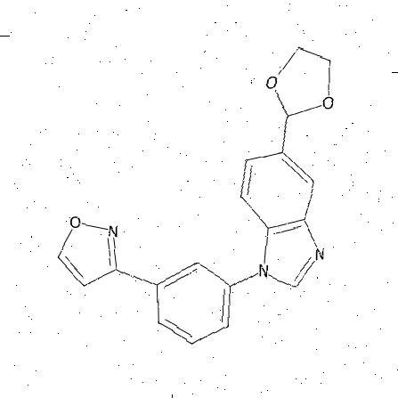 c1cc(-c2ccon2)cc(-n2cnc3cc(C4OCCO4)ccc32)c1